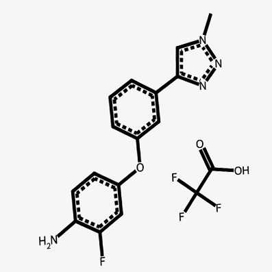 Cn1cc(-c2cccc(Oc3ccc(N)c(F)c3)c2)nn1.O=C(O)C(F)(F)F